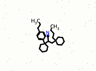 CCCCC1(CC(C#N)C2(c3ccc(CCC)cc3)CCCCC2)CCCCC1